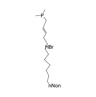 Br.CCCCCCCCCCCCCCCCCCC=CCP(C)C